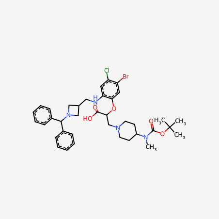 CN(C(=O)OC(C)(C)C)C1CCN(CC(Oc2cc(Br)c(Cl)cc2NCC2CN(C(c3ccccc3)c3ccccc3)C2)C(=O)O)CC1